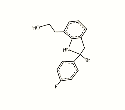 OCCc1cccc2c1NC(Br)(c1ccc(F)cc1)[CH]2